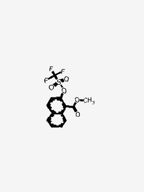 COC(=O)c1c(OS(=O)(=O)C(F)(F)F)ccc2ccccc12